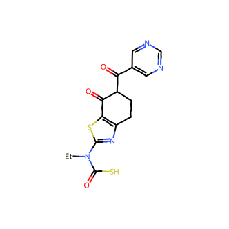 CCN(C(=O)S)c1nc2c(s1)C(=O)C(C(=O)c1cncnc1)CC2